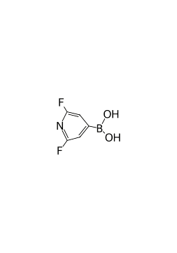 OB(O)c1cc(F)nc(F)c1